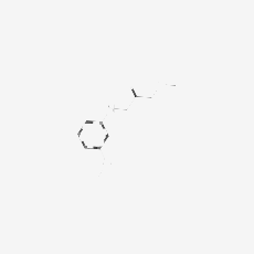 COc1cccc(NCC(=O)CSC)c1